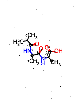 CC(C)C(=O)NC(C)C(=O)NC(C)C(=O)O